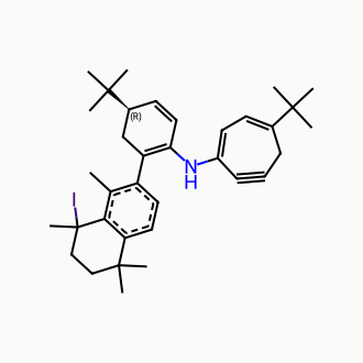 Cc1c(C2=C(NC3=CC=C(C(C)(C)C)CC#C3)C=C[C@H](C(C)(C)C)C2)ccc2c1C(C)(I)CCC2(C)C